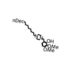 CCCCCCCCCCCCCCCCCCN1CCN(Cc2ccc(OC)c(OC)c2O)CC1